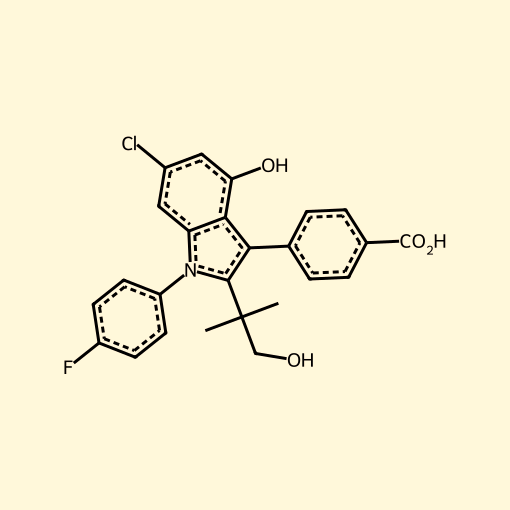 CC(C)(CO)c1c(-c2ccc(C(=O)O)cc2)c2c(O)cc(Cl)cc2n1-c1ccc(F)cc1